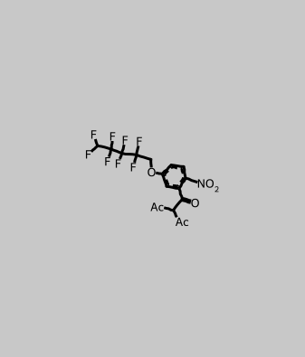 CC(=O)C(C(C)=O)C(=O)c1cc(OCC(F)(F)C(F)(F)C(F)(F)C(F)F)ccc1[N+](=O)[O-]